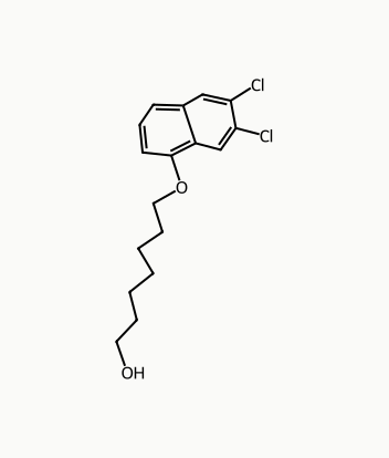 OCCCCCCCOc1cccc2cc(Cl)c(Cl)cc12